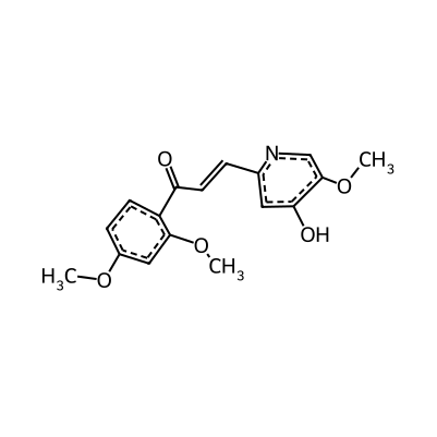 COc1ccc(C(=O)C=Cc2cc(O)c(OC)cn2)c(OC)c1